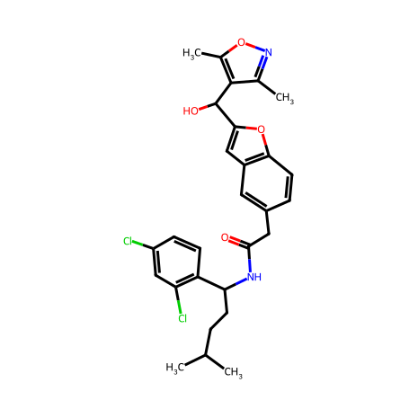 Cc1noc(C)c1C(O)c1cc2cc(CC(=O)NC(CCC(C)C)c3ccc(Cl)cc3Cl)ccc2o1